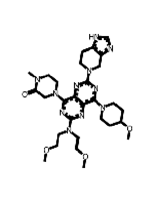 COCCN(CCOC)c1nc(N2CCN(C)C(=O)C2)c2nc(N3CCc4[nH]cnc4C3)nc(N3CCC(OC)CC3)c2n1